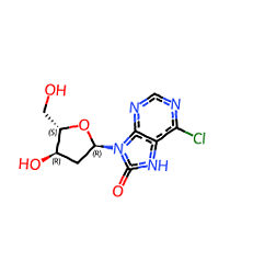 O=c1[nH]c2c(Cl)ncnc2n1[C@H]1C[C@@H](O)[C@H](CO)O1